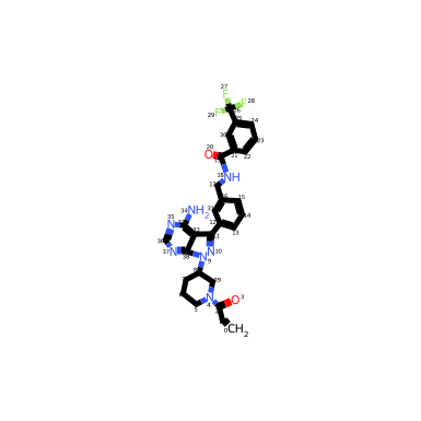 C=CC(=O)N1CCCC(n2nc(-c3cccc(CNC(=O)c4cccc(C(F)(F)F)c4)c3)c3c(N)ncnc32)C1